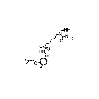 C[C@@H](NS(=O)(=O)CCCCCN(C=N)C(N)=O)c1ccc(F)c(OCC2CC2)c1